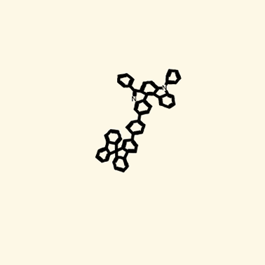 c1ccc(-c2nc3cc(-c4ccc(-c5ccc6c(c5)C5(c7ccccc7-c7ccccc75)c5ccccc5-6)cc4)ccc3c3c2ccc2c3c3ccccc3n2-c2ccccc2)cc1